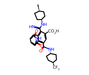 C[C@H]1CC[C@@H](NC(=N)c2c(C(=O)O)cc(C(=O)N[C@H]3CC[C@H](C(F)(F)F)CC3)c3c4ccc(c(=O)[nH]c4=O)c23)CC1